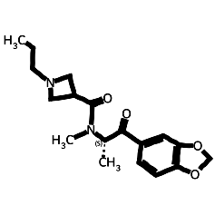 CCCN1CC(C(=O)N(C)[C@@H](C)C(=O)c2ccc3c(c2)OCO3)C1